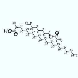 C=CC(=O)OCCCCCCCC.CCCCCCCCCCCCCCCCCCC=C(C)C(=O)O